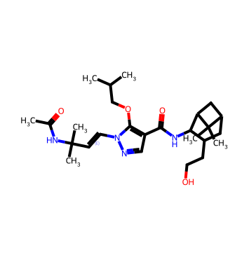 CC(=O)NC(C)(C)/C=C/n1ncc(C(=O)NC2C(CCO)CC3CC2C3(C)C)c1OCC(C)C